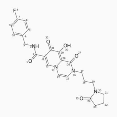 O=C(NCc1ccc(F)cc1)c1cn2ccn(CCCN3CCCC3=O)c(=O)c2c(O)c1=O